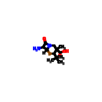 CC(C)(C)C1S[C@@H]2C(N)C(=O)N2CC1(C)C(=O)O